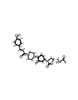 CC(=O)NC[C@H]1CN(c2ccc(N3CCN(C(=O)C=Cc4ccc(O)cc4)CC3)c(F)c2)C(=O)O1